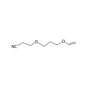 C=COCCCOCCC#N